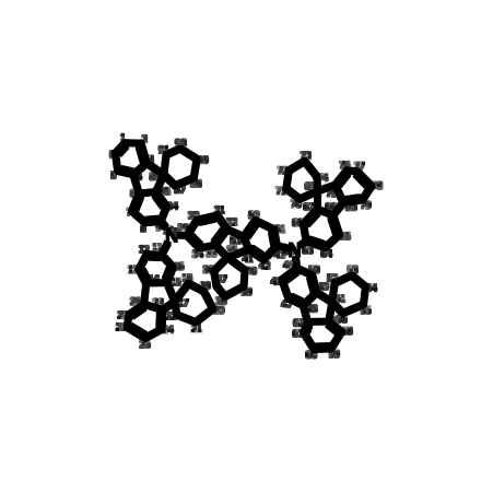 c1ccc2c(c1)-c1ccc(N(c3ccc4c(c3)C3(CCCCC3)c3ccccc3-4)c3ccc4c(c3)C3(CCCCC3)c3cc(N(c5ccc6c(c5)C5(CCCCC5)c5ccccc5-6)c5ccc6c(c5)C5(CCCCC5)c5ccccc5-6)ccc3-4)cc1C21CCCCC1